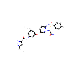 Cc1ccc(S(=O)(=O)/N=c2/ccc(Oc3cc(C)cc(NC(=O)c4cc(C)nn4C)c3)cn2CC(N)=O)cc1